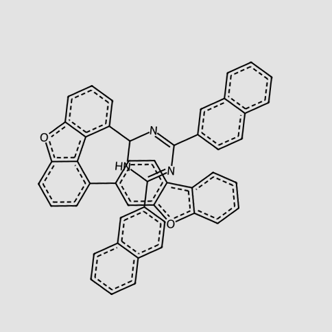 c1ccc2cc(C3=NC(c4cccc5oc6cccc(-c7ccc8c(c7)oc7ccccc78)c6c45)NC(c4ccc5ccccc5c4)=N3)ccc2c1